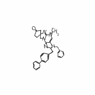 CN1C=C2C(=NC(Cc3ccc(-c4ccccc4)cc3)N2Cc2ccccc2)N2CC3(CCC(=O)C3)N=C12